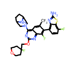 Nc1nc2c(-c3c(C(F)(F)F)cc4c(N5CC6CCC(C5)N6)nc(OCC5(F)CCOCC5)nc4c3F)ccc(F)c2s1